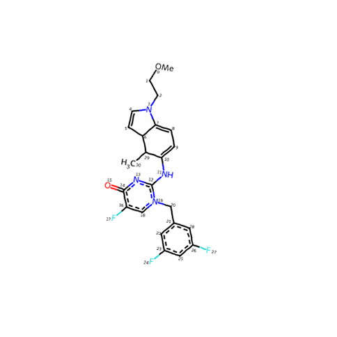 COCCN1C=CC2C1=CC=C(Nc1nc(=O)c(F)cn1Cc1cc(F)cc(F)c1)C2C